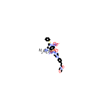 CN(C)CC[C@H](CSc1ccccc1)Nc1ccc(S(=O)(=O)NC(=O)N2CCN(c3ccc(CCC(=O)N4CCOCC4)cc3)CC2)cc1[N+](=O)[O-]